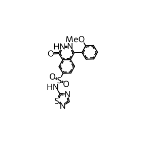 COc1ccccc1-c1n[nH]c(=O)c2cc(S(=O)(=O)Nc3ncns3)ccc12